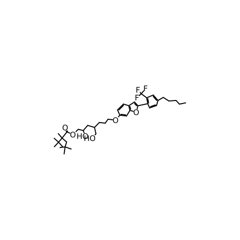 CCCCCc1ccc(-c2cc3ccc(OCCCC(CO)CC(O)COC(=O)C(C)(CC(C)(C)C)C(C)(C)C)cc3o2)c(C(F)(F)F)c1